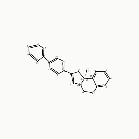 c1ccc(-c2ccc(C3=NN4COc5ccccc5[C@@H]4C3)cc2)cc1